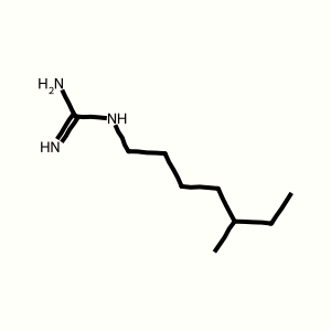 CCC(C)CCCCNC(=N)N